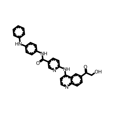 O=C(CO)c1ccc2nccc(Nc3ccc(C(=O)Nc4ccc(Nc5ccccc5)cc4)cn3)c2c1